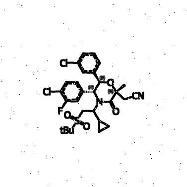 CC(C)(C)S(=O)(=O)CC(C1CC1)N1C(=O)[C@@](C)(CC#N)O[C@H](c2cccc(Cl)c2)[C@H]1c1ccc(Cl)c(F)c1